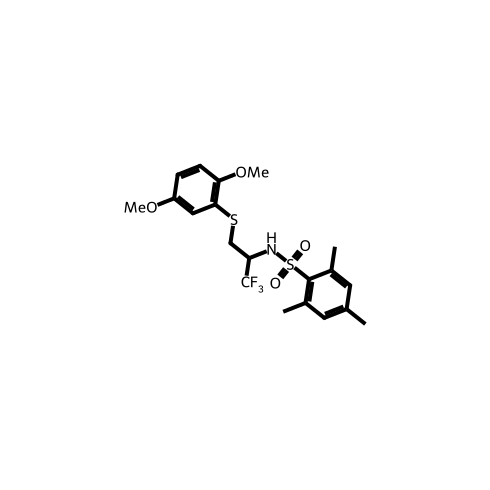 COc1ccc(OC)c(SCC(NS(=O)(=O)c2c(C)cc(C)cc2C)C(F)(F)F)c1